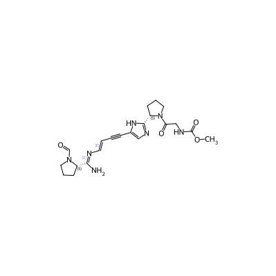 COC(=O)NCC(=O)N1CCC[C@H]1c1ncc(C#C/C=C/N=C(\N)[C@@H]2CCCN2C=O)[nH]1